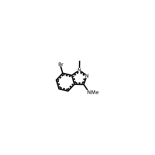 CNc1nn(C)c2c(Br)cccc12